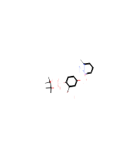 Cc1cccc(Oc2ccc(B3OC(C)(C)C(C)(C)O3)c(C=O)c2)n1